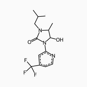 CC(C)CN1C(=O)N(c2cc(C(F)(F)F)ccn2)C(O)C1C